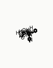 CNC(=O)C1OC(n2cnc3c(NCc4ccccc4)nc(-c4ccc(C)nc4)nc32)C(O)C1O